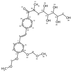 COCOc1ccc(C=Cc2ccc(C(=O)N(C)CC(O)C(O)C(O)C(O)CO)cc2)cc1OCOC